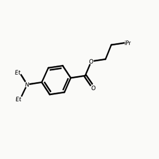 CCN(CC)c1ccc(C(=O)OCCC(C)C)cc1